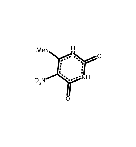 CSc1[nH]c(=O)[nH]c(=O)c1[N+](=O)[O-]